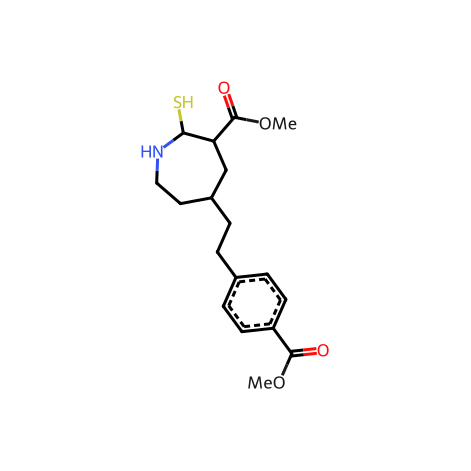 COC(=O)c1ccc(CCC2CCNC(S)C(C(=O)OC)C2)cc1